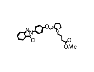 COC(=O)CCCN1CCC[C@@H]1COc1ccc(-n2nc3ccccc3c2Cl)cc1